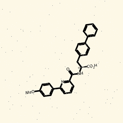 COc1ccc(-c2cccc(C(=O)N[C@@H](Cc3ccc(-c4ccccc4)cc3)C(=O)O)n2)cc1